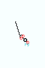 CCCCCCCCCCC1COC(c2ccc(OC(F)F)cc2)OC1